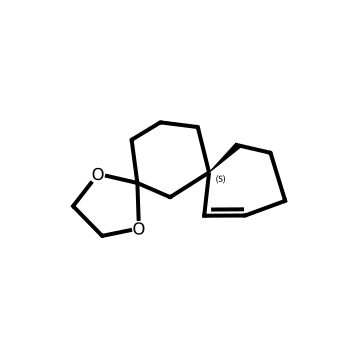 C1=C[C@@]2(CCC1)CCCC1(C2)OCCO1